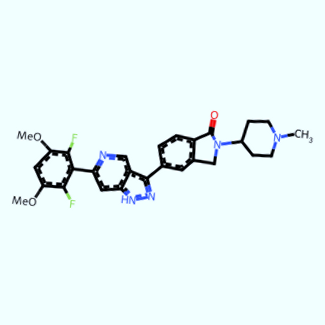 COc1cc(OC)c(F)c(-c2cc3[nH]nc(-c4ccc5c(c4)CN(C4CCN(C)CC4)C5=O)c3cn2)c1F